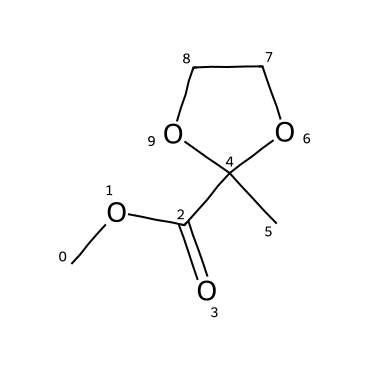 COC(=O)C1(C)OCCO1